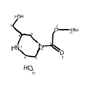 CC(C)(C)OC(=O)N1CCNC(CO)C1.Cl